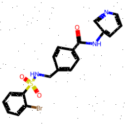 O=C(Nc1cccnc1)c1ccc(CNS(=O)(=O)c2ccccc2Br)cc1